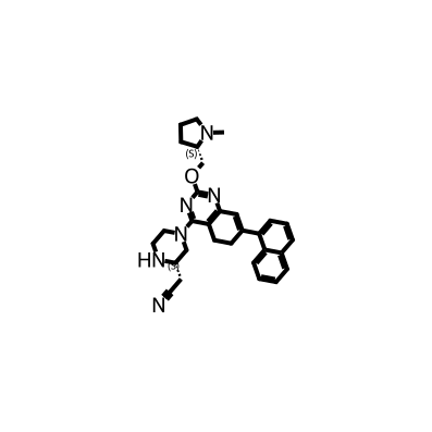 CN1CCC[C@H]1COc1nc2c(c(N3CCN[C@@H](CC#N)C3)n1)CCC(c1cccc3ccccc13)=C2